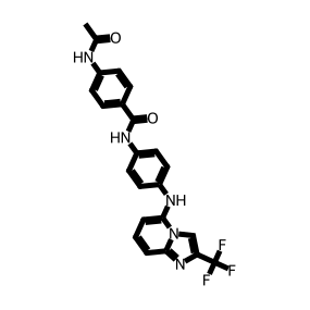 CC(=O)Nc1ccc(C(=O)Nc2ccc(Nc3cccc4nc(C(F)(F)F)cn34)cc2)cc1